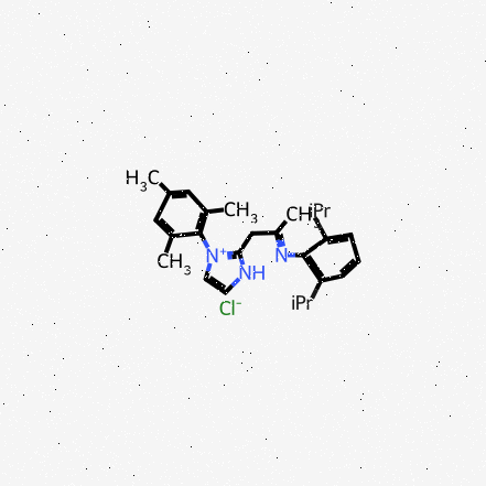 CC(Cc1[nH]cc[n+]1-c1c(C)cc(C)cc1C)=Nc1c(C(C)C)cccc1C(C)C.[Cl-]